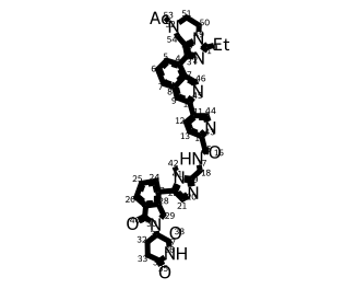 CCc1nc(-c2cccc3cc(-c4ccc(C(=O)NCc5ncc(-c6cccc7c6CN(C6CCC(=O)NC6=O)C7=O)n5C)nc4)ncc23)c2n1CCN(C(C)=O)C2